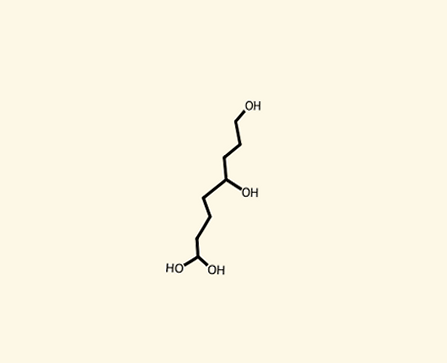 OCCCC(O)CCCC(O)O